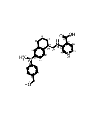 CN(c1ccc(CO)cc1)c1ccc2c(c1)CCC[C@H]2CNc1cnccc1C(=O)O